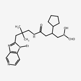 CCn1c(CC(C)(C)CNC(=O)CC(CN(O)C=O)C2CCCC2)nc2cnccc21